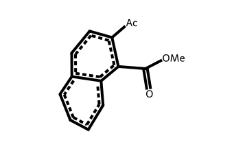 COC(=O)c1c(C(C)=O)ccc2ccccc12